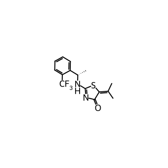 CC(C)=C1SC(N[C@@H](C)c2ccccc2C(F)(F)F)=NC1=O